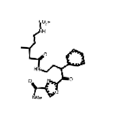 CNC(=O)c1coc(C(=O)C(CCNC(=O)CC(C)CCNC(=O)O)c2ccccc2)n1